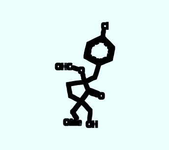 COCC1(CO)CCC(Cc2ccc(Cl)cc2)(OC=O)C1=O